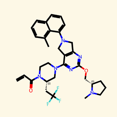 C=CC(=O)N1CCN(c2nc(OC[C@@H]3CCCN3C)nc3c2CN(c2cccc4cccc(C)c24)C3)C[C@@H]1CC(F)(F)F